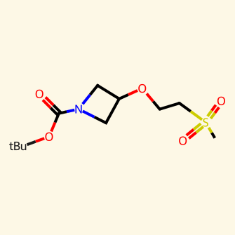 CC(C)(C)OC(=O)N1CC(OCCS(C)(=O)=O)C1